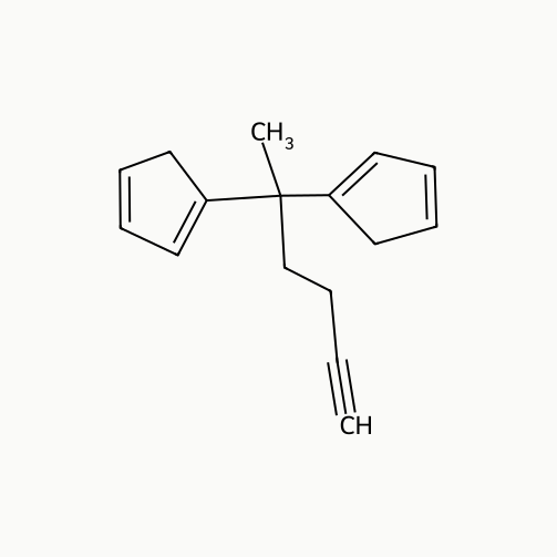 C#CCCC(C)(C1=CC=CC1)C1=CC=CC1